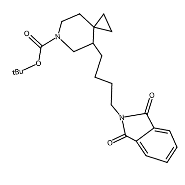 CC(C)(C)OC(=O)N1CCC2(CC2)C(CCCCN2C(=O)c3ccccc3C2=O)C1